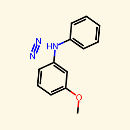 COc1cccc(Nc2ccccc2)c1.N#N